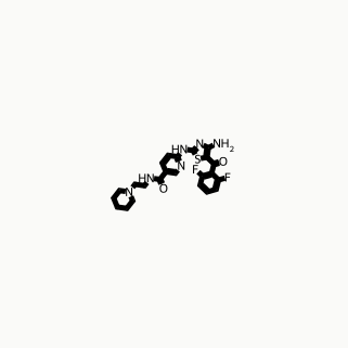 Nc1nc(Nc2ccc(C(=O)NCCN3CCCCC3)cn2)sc1C(=O)c1c(F)cccc1F